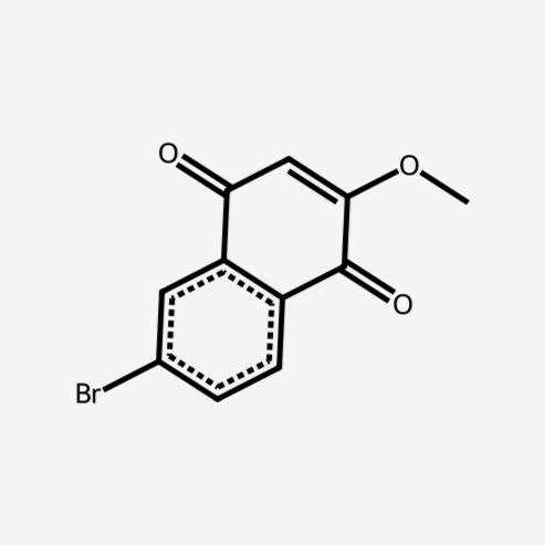 COC1=CC(=O)c2cc(Br)ccc2C1=O